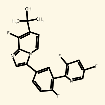 CC(C)(O)c1ccn2c(-c3ccc(F)c(-c4ncc(F)cc4F)c3)cnc2c1F